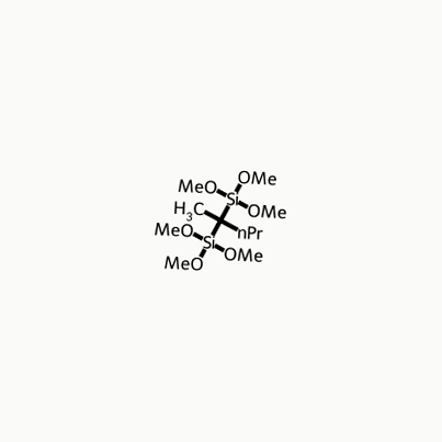 CCCC(C)([Si](OC)(OC)OC)[Si](OC)(OC)OC